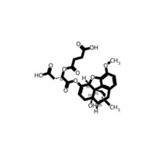 COc1ccc2c3c1O[C@H]1C(OC(=O)[C@H](CC(=O)O)OC(=O)CCC(=O)O)=CC[C@@]4(O)[C@@H](C2)N(C)CC[C@]314